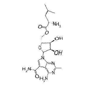 Cc1nc(N)c2c(C(N)=O)cn(C3O[C@H](COC(=O)[C@@H](N)CC(C)C)[C@@H](O)[C@H]3O)c2n1